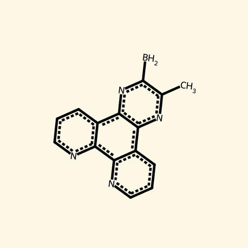 Bc1nc2c3cccnc3c3ncccc3c2nc1C